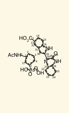 CC(=O)Nc1cccc([As](=O)(O)OO)c1.O=C(O)c1ccc2[nH]c(-c3nc4ccccc4[nH]c3=O)cc2c1